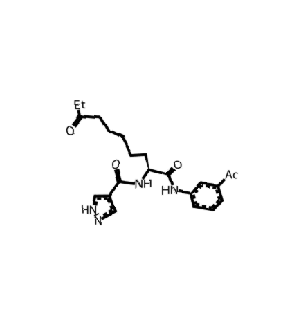 CCC(=O)CCCCC[C@H](NC(=O)c1cn[nH]c1)C(=O)Nc1cccc(C(C)=O)c1